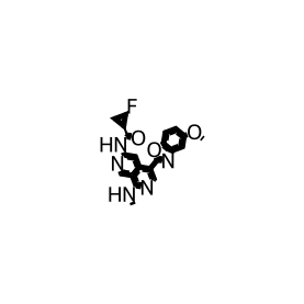 CNc1ncc(-c2nc3cc(OC)ccc3o2)c2cc(NC(=O)[C@H]3C[C@@H]3F)ncc12